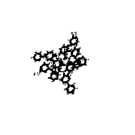 N#Cc1cccc(-c2ccc(-n3c4ccc(-c5ccccc5)cc4c4cc(-c5ccccc5)ccc43)c(-c3nc(-c4ccccc4-c4cccc(C#N)c4)nc(-c4cc(-c5cccc(C#N)c5)ccc4-n4c5ccc(-c6ccccc6)cc5c5cc(-c6ccccc6)ccc54)n3)c2)c1